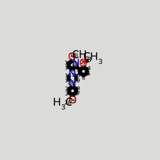 CCOc1ccccc1-c1nc(OC)ccc1N1CCN(c2ccc(OC)cc2)CC1